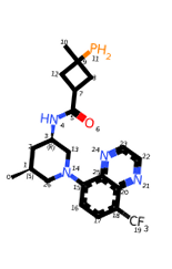 C[C@H]1C[C@@H](NC(=O)C2CC(C)(P)C2)CN(c2ccc(C(F)(F)F)c3nccnc23)C1